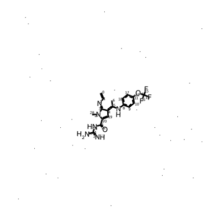 C=C/N=C1\C(=C(/C)Nc2ccc(OC(F)(F)F)cc2)C=C(C(=O)NC(=N)N)N1C